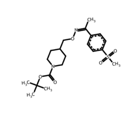 CC(=NOCC1CCN(C(=O)OC(C)(C)C)CC1)c1ccc(S(C)(=O)=O)cc1